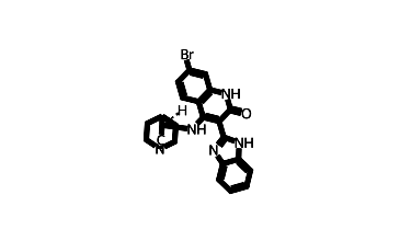 O=c1[nH]c2cc(Br)ccc2c(N[C@H]2CN3CCC2CC3)c1-c1nc2ccccc2[nH]1